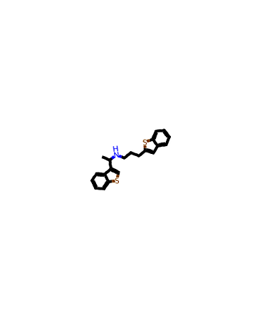 CC(NCCCc1cc2ccccc2s1)c1csc2ccccc12